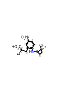 CCC(Cc1cc([N+](=O)[O-])ccc1NC1CCC1C)C(=O)O